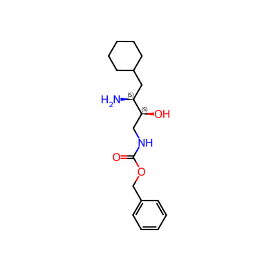 N[C@@H](CC1CCCCC1)[C@@H](O)CNC(=O)OCc1ccccc1